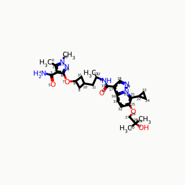 Cc1c(C(N)=O)c(OC2CC(C[C@H](C)NC(=O)c3cnn4c(C5CC5)c(OCC(C)(C)O)ccc34)C2)nn1C